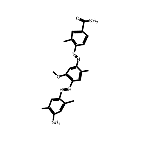 COc1cc(N=Nc2ccc(C(N)=O)cc2C)c(C)cc1N=Nc1cc(C)c(N)cc1C